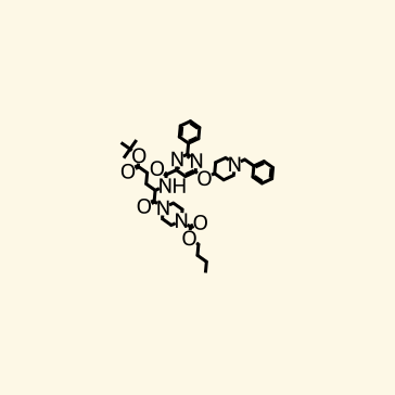 CCCCOC(=O)N1CCN(C(=O)C(CCC(=O)OC(C)(C)C)NC(=O)c2cc(OC3CCN(Cc4ccccc4)CC3)nc(-c3ccccc3)n2)CC1